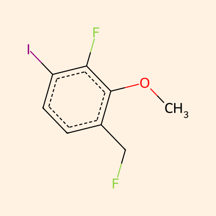 COc1c(CF)ccc(I)c1F